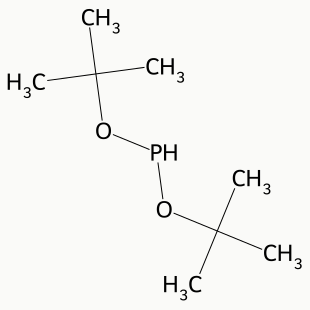 CC(C)(C)OPOC(C)(C)C